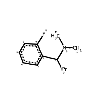 CC(C)C(c1ccccc1F)N(C)C